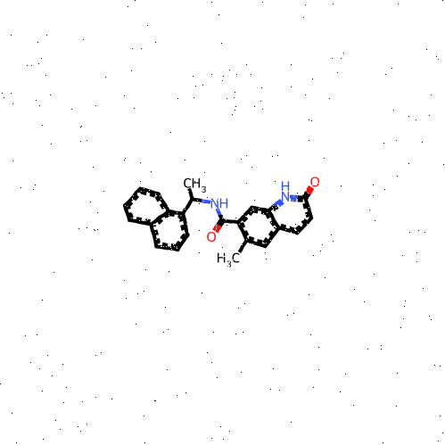 Cc1cc2ccc(=O)[nH]c2cc1C(=O)NC(C)c1cccc2ccccc12